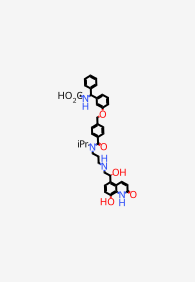 CC(C)N(CCCNC[C@H](O)c1ccc(O)c2[nH]c(=O)ccc12)C(=O)c1ccc(COc2cccc(C(NC(=O)O)c3ccccc3)c2)cc1